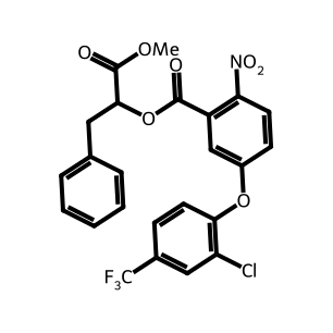 COC(=O)C(Cc1ccccc1)OC(=O)c1cc(Oc2ccc(C(F)(F)F)cc2Cl)ccc1[N+](=O)[O-]